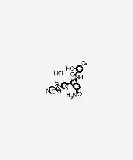 COc1ccc(C(=O)Nn2cc(-c3ccc(S(=O)(=O)N4CCN(C)CC4)cn3)c3cc(C(N)=O)ccc32)c(O)c1.Cl